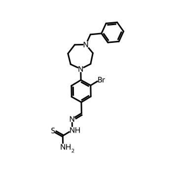 NC(=S)NN=Cc1ccc(N2CCCN(Cc3ccccc3)CC2)c(Br)c1